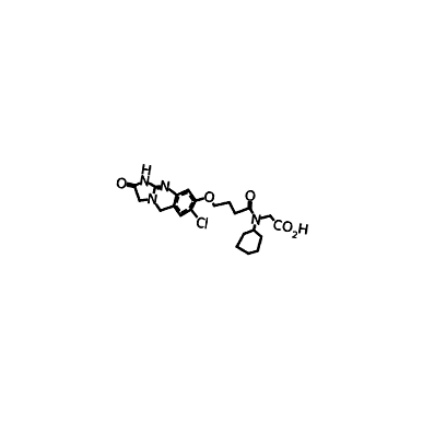 O=C(O)CN(C(=O)CCCOc1cc2c(cc1Cl)CN1CC(=O)NC1=N2)C1CCCCC1